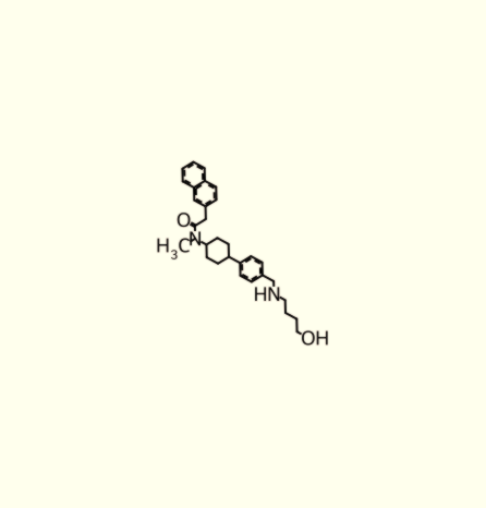 CN(C(=O)Cc1ccc2ccccc2c1)C1CCC(c2ccc(CNCCCCO)cc2)CC1